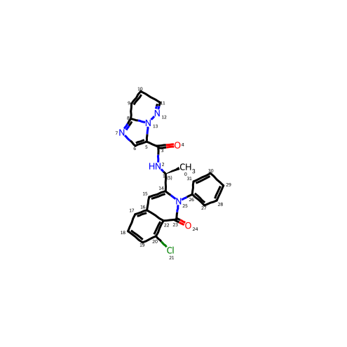 C[C@H](NC(=O)c1cnc2cccnn12)c1cc2cccc(Cl)c2c(=O)n1-c1ccccc1